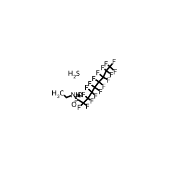 CCNS(=O)(=O)C(F)(F)C(F)(F)C(F)(F)C(F)(F)C(F)(F)C(F)(F)C(F)(F)C(F)(F)F.S